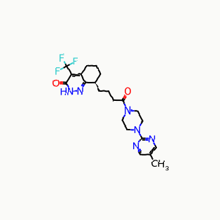 Cc1cnc(N2CCN(C(=O)CCC[C@@H]3CCCc4c3n[nH]c(=O)c4C(F)(F)F)CC2)nc1